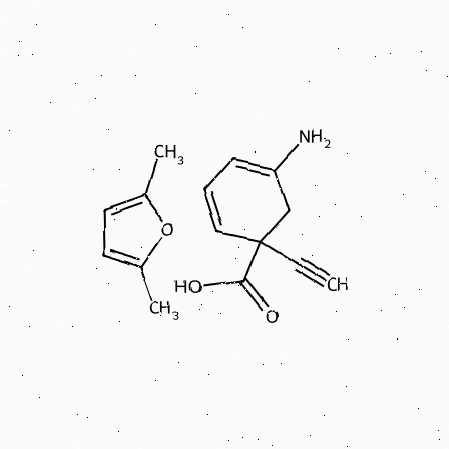 C#CC1(C(=O)O)C=CC=C(N)C1.Cc1ccc(C)o1